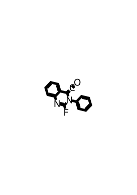 O=C=C1c2ccccc2N=C(F)N1c1ccccc1